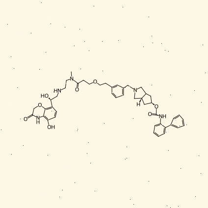 CN(CCNC[C@H](O)c1ccc(O)c2c1OCC(=O)N2)C(=O)CCOCCc1cccc(CN2CC3C[C@@H](OC(=O)Nc4ccccc4-c4ccccc4)C[C@@H]3C2)c1